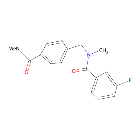 CNC(=O)c1ccc(CN(C)C(=O)c2cccc(F)c2)cc1